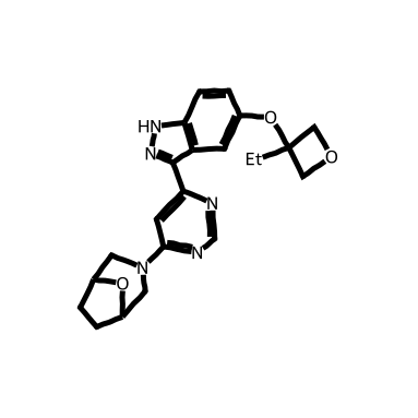 CCC1(Oc2ccc3[nH]nc(-c4cc(N5CC6CCC(C5)O6)ncn4)c3c2)COC1